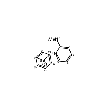 CNc1ccccn1.O=C1c2cccc1c2